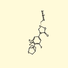 C[C@@H]1CC2CSC1N2c1c(F)cc(N2C[C@H](CN=[N+]=[N-])OC2=O)cc1F